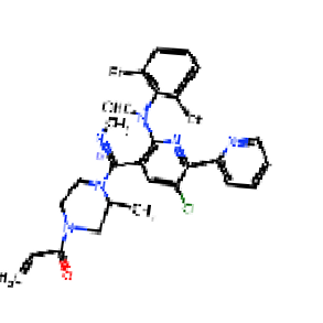 C=CC(=O)N1CCN(/C(=N/C)c2cc(Cl)c(-c3ccccn3)nc2N(C=O)c2c(CC)cccc2CC)C(C)C1